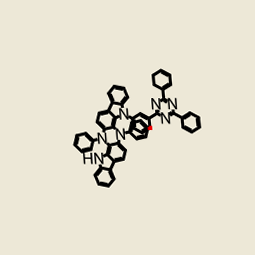 C1=CCCC(c2nc(-c3ccccc3)nc(-c3cccc(-n4c5ccccc5c5ccc6c(c54)N(c4ccccc4)c4ccc5c([nH]c7ccccc75)c4N6c4ccccc4)c3)n2)=C1